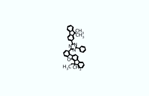 CCC1(C)c2ccccc2-c2ccc3c(oc4cccc(-c5nc(-c6ccccc6)nc(-c6ccc7c(c6)C(C)(C)c6ccccc6-7)n5)c43)c21